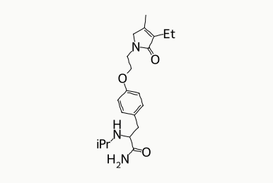 CCC1=C(C)CN(CCOc2ccc(CC(NC(C)C)C(N)=O)cc2)C1=O